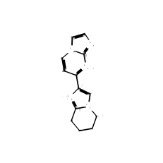 [c]1cn2ccc(-c3cn4c(n3)CCCC4)nc2n1